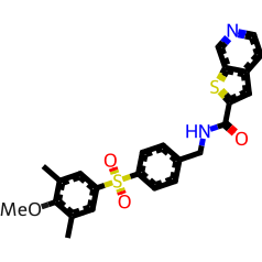 COc1c(C)cc(S(=O)(=O)c2ccc(CNC(=O)c3cc4ccncc4s3)cc2)cc1C